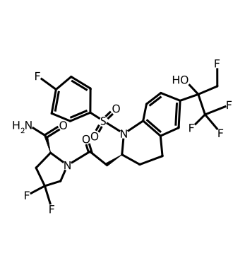 NC(=O)[C@@H]1CC(F)(F)CN1C(=O)C[C@@H]1CCc2cc(C(O)(CF)C(F)(F)F)ccc2N1S(=O)(=O)c1ccc(F)cc1